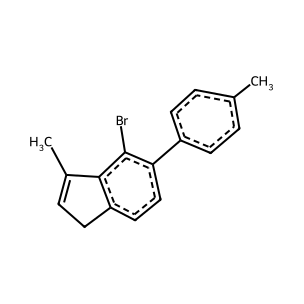 CC1=CCc2ccc(-c3ccc(C)cc3)c(Br)c21